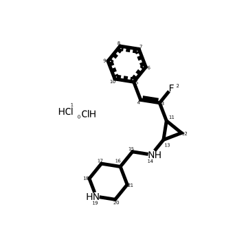 Cl.Cl.F/C(=C\c1ccccc1)C1CC1NCC1CCNCC1